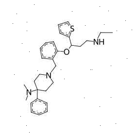 CCNCCC(Oc1ccccc1CN1CCC(c2ccccc2)(N(C)C)CC1)c1cccs1